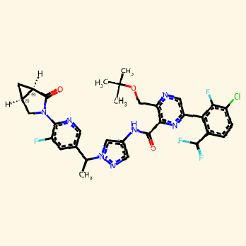 CC(c1cnc(N2C[C@H]3C[C@H]3C2=O)c(F)c1)n1cc(NC(=O)c2nc(-c3c(C(F)F)ccc(Cl)c3F)cnc2COC(C)(C)C)cn1